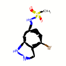 CS(=O)(=O)Nc1cc(Br)c2cn[nH]c2c1